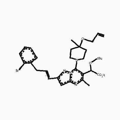 C=CCOC1(C)CCN(c2c(C(OC(C)(C)C)C(=O)O)c(C)nc3cc(/C=C/Cc4ccccc4Br)nn23)CC1